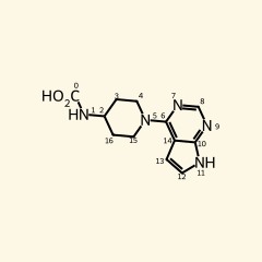 O=C(O)NC1CCN(c2ncnc3[nH]ccc23)CC1